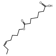 CC/C=C\CCCCOC(=O)CCCCCC(=O)O